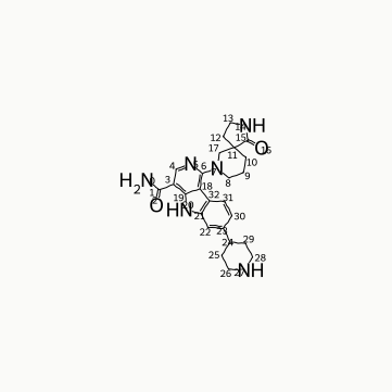 NC(=O)c1cnc(N2CCCC3(CCNC3=O)C2)c2c1[nH]c1cc(C3CCNCC3)ccc12